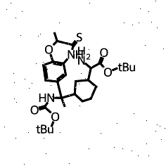 CC1Oc2ccc(C(C)(NC(=O)OC(C)(C)C)C3CCCC(C(N)C(=O)OC(C)(C)C)C3)cc2NC1=S